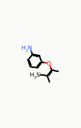 CC([SiH3])=C(C)Oc1cccc(N)c1